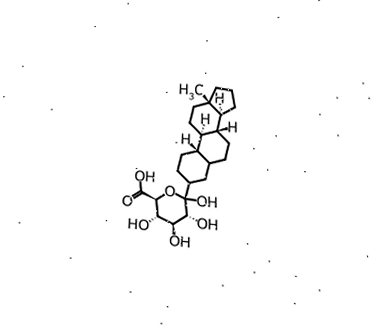 C[C@@]12CCC[C@H]1[C@@H]1CCC3CC(C4(O)O[C@H](C(=O)O)[C@@H](O)[C@H](O)[C@H]4O)CC[C@@H]3[C@H]1CC2